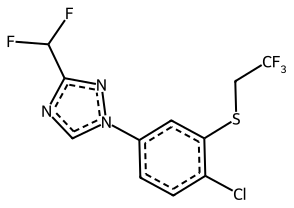 FC(F)c1ncn(-c2ccc(Cl)c(SCC(F)(F)F)c2)n1